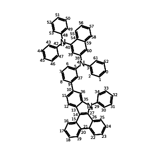 c1ccc(N(c2cccc(-c3ccc4c5c6ccccc6c6ccccc6c5n(-c5ccccc5)c4c3)c2)c2cc(N(c3ccccc3)c3ccccc3)c3ccccc3c2)cc1